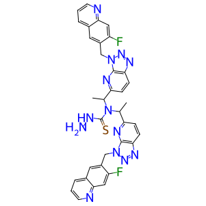 CC(c1ccc2nnn(Cc3cc4cccnc4cc3F)c2n1)N(C(=S)NN)C(C)c1ccc2nnn(Cc3cc4cccnc4cc3F)c2n1